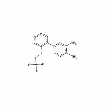 Nc1ccc(-c2ccncc2CCC(F)(F)F)cc1N